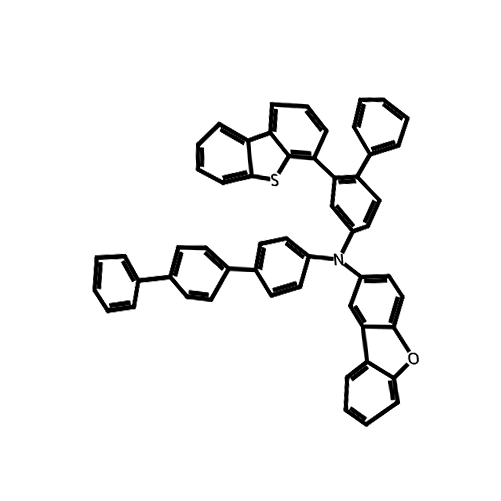 c1ccc(-c2ccc(-c3ccc(N(c4ccc(-c5ccccc5)c(-c5cccc6c5sc5ccccc56)c4)c4ccc5oc6ccccc6c5c4)cc3)cc2)cc1